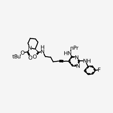 CCCNc1nc(Nc2cccc(F)c2)ncc1C#CCCCNC(=O)[C@@H]1CCCCN1C(=O)OC(C)(C)C